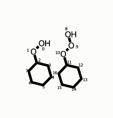 OOC1CCCCC1.OOOC1CCCCC1